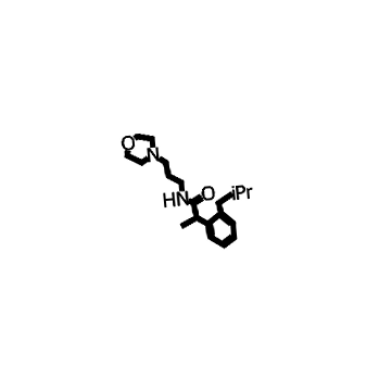 CC(C)Cc1ccccc1C(C)C(=O)NCCCN1CCOCC1